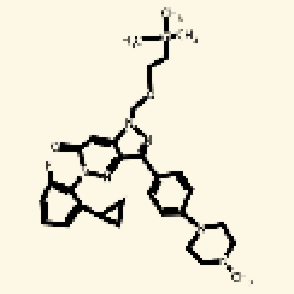 CN1CCN(c2ccc(-c3nn(COCC[Si](C)(C)C)c4cc(=O)n(-c5c(F)cccc5C5CC5)nc34)cc2)CC1